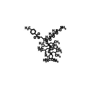 Cc1ccc(S(=O)(=O)OCCC[SiH](O[SiH2]O[SiH2]O[SiH2]O[SiH3])O[Si](CC(C)C)(CC(C)C)O[Si](CC(C)C)(CC(C)C)O[Si](CC(C)C)(CC(C)C)CC(C)C)cc1